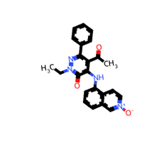 CCn1nc(-c2ccccc2)c(C(C)=O)c(Nc2cccc3c[n+]([O-])ccc23)c1=O